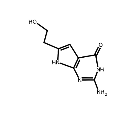 Nc1nc2[nH]c(CCO)cc2c(=O)[nH]1